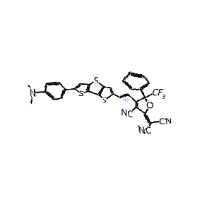 CN(C)c1ccc(-c2cc3sc4cc(/C=C/C5=C(C#N)C(=C(C#N)C#N)OC5(c5ccccc5)C(F)(F)F)sc4c3s2)cc1